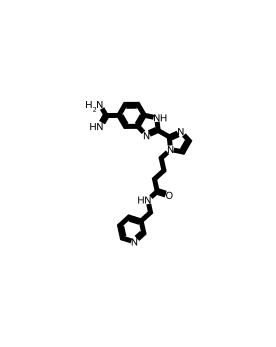 N=C(N)c1ccc2[nH]c(-c3nccn3CCCC(=O)NCc3cccnc3)nc2c1